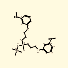 CNc1cccc(OCCC[Si](C)(CCCOc2cccc(NC)c2)O[Si](C)(C)C)c1